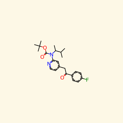 CC(C)C(C)N(C(=O)OC(C)(C)C)c1cc(CC(=O)c2ccc(F)cc2)ccn1